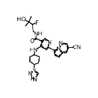 CC(C)(O)C(F)CNC(=O)c1cnc(-c2ccc3cc(C#N)cnn23)cc1NC1CCC(n2cnnn2)CC1